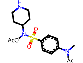 CC(=O)ON(C1CCNCC1)S(=O)(=O)c1ccc(N(C)C(C)=O)cc1